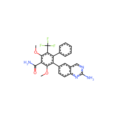 COc1c(C(N)=O)c(OC)c(C(F)(F)F)c(-c2ccccc2)c1-c1ccc2nc(N)ncc2c1